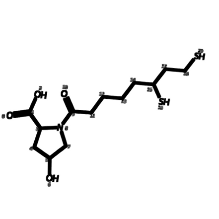 O=C(O)C1CC(O)CN1C(=O)CCCCC(S)CCS